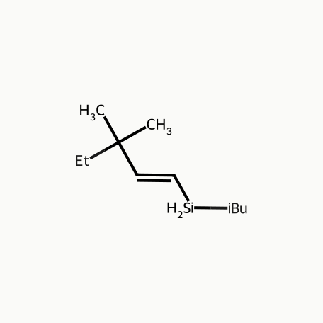 CCC(C)[SiH2]C=CC(C)(C)CC